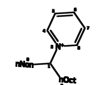 CCCCCCCCCC(CCCCCCCC)[n+]1ccccc1